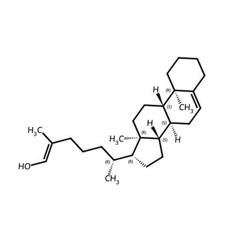 CC(=CO)CCC[C@@H](C)[C@H]1CC[C@H]2[C@@H]3CC=C4CCCC[C@]4(C)[C@H]3CC[C@]12C